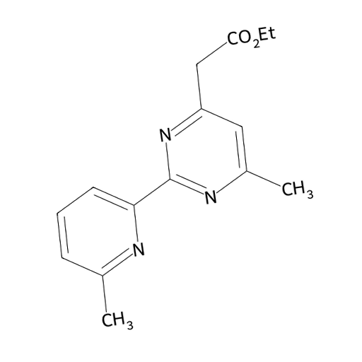 CCOC(=O)Cc1cc(C)nc(-c2cccc(C)n2)n1